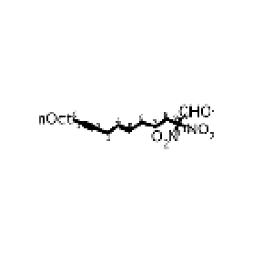 CCCCCCCCC#CC/C=C/CCCC([C]=O)([N+](=O)[O-])[N+](=O)[O-]